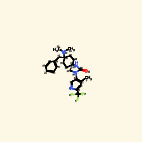 Cc1cc(C(F)(F)F)ncc1N1C[C@]2(CC[C@@](Cc3ccccc3)(N(C)C)CC2)NC1=O